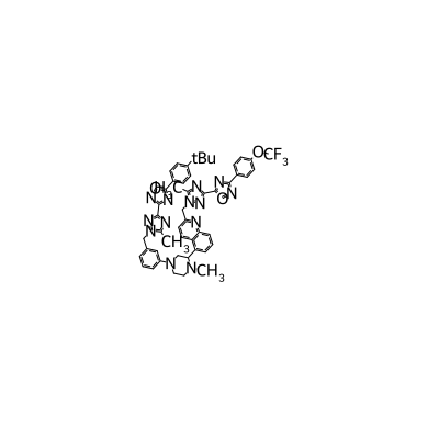 Cc1nc(-c2noc(-c3ccc(C(C)(C)C)cc3)n2)nn1Cc1cccc(N2CCN(C)C(c3cccc4nc(Cn5nc(-c6nc(-c7ccc(OC(F)(F)F)cc7)no6)nc5C)ccc34)C2)c1